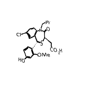 COc1cc(O)ccc1[C@H]1S[C@H](CC(=O)O)C(=O)N(CC(C)C)c2ccc(Cl)cc21